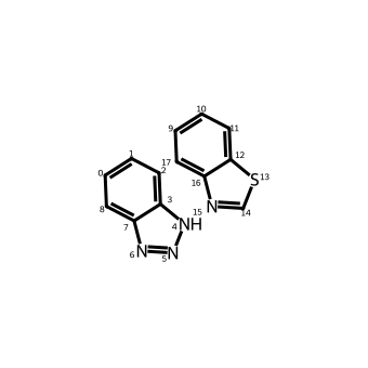 c1ccc2[nH]nnc2c1.c1ccc2scnc2c1